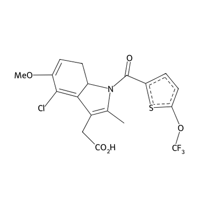 COC1=CCC2C(=C1Cl)C(CC(=O)O)=C(C)N2C(=O)c1ccc(OC(F)(F)F)s1